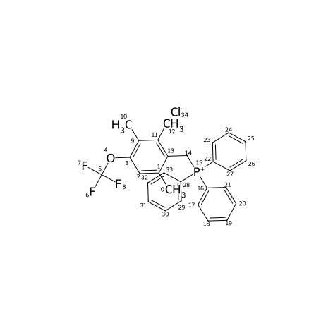 Cc1cc(OC(F)(F)F)c(C)c(C)c1C[P+](c1ccccc1)(c1ccccc1)c1ccccc1.[Cl-]